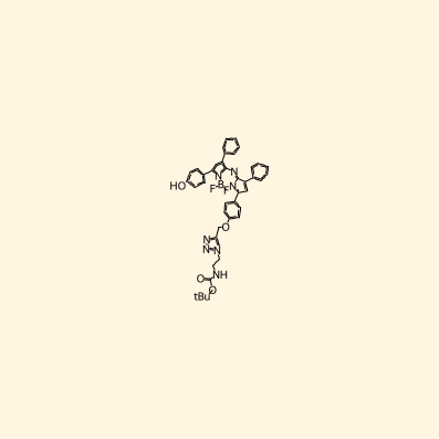 CC(C)(C)OC(=O)NCCn1cc(COc2ccc(C3=N/C(=N\c4c(-c5ccccc5)cc(-c5ccc(O)cc5)n4B(F)F)C(c4ccccc4)=C3)cc2)nn1